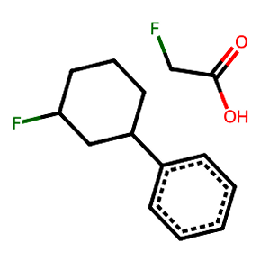 FC1CCCC(c2ccccc2)C1.O=C(O)CF